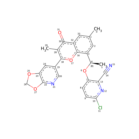 Cc1cc([C@@H](C)Oc2ccc(Cl)nc2C#N)c2oc(-c3cnc4c(c3)OCO4)c(C)c(=O)c2c1